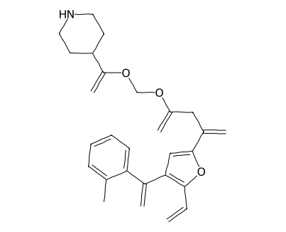 C=Cc1oc(C(=C)CC(=C)OCOC(=C)C2CCNCC2)cc1C(=C)c1ccccc1C